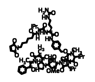 CC[C@H](C)[C@@H]([C@@H](CC(=O)N1CCC[C@H]1[C@H](C=O)[C@@H](C)C(=O)N[C@H](C)[C@@H](O)c1ccccc1)OC)N(C)C(=O)[C@@H](NC(=O)C(C(C)C)N(C)C(=O)OCc1ccc(NC(=O)[C@H](CCCNC(N)=O)NC(=O)[C@H](NC(=O)CCCCCN2C(=O)C=CC2=O)C(C)C)cc1)C(C)C